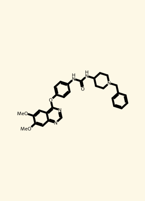 COc1cc2ncnc(Oc3ccc(NC(=O)NC4CCN(Cc5ccccc5)CC4)cc3)c2cc1OC